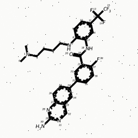 CN(C)CCCCNc1ccc(C(F)(F)C(F)(F)F)cc1NC(=O)c1cc(-c2ccc3nc(N)ncc3c2)ccc1F